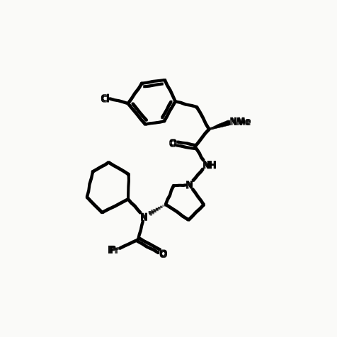 CN[C@H](Cc1ccc(Cl)cc1)C(=O)NN1CC[C@H](N(C(=O)C(C)C)C2CCCCC2)C1